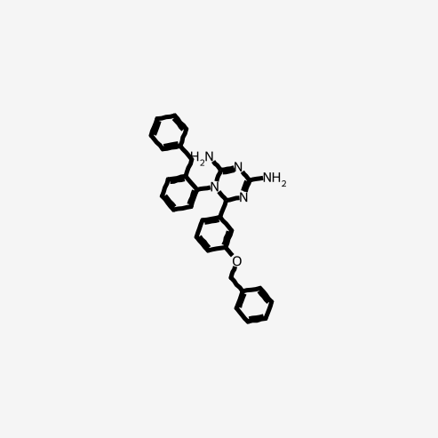 NC1=NC(c2cccc(OCc3ccccc3)c2)N(c2ccccc2Cc2ccccc2)C(N)=N1